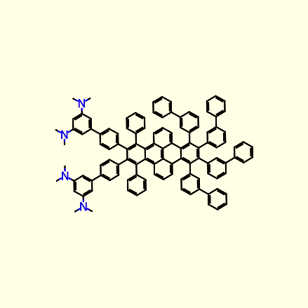 CN(C)c1cc(-c2ccc(-c3c(-c4ccc(-c5cc(N(C)C)cc(N(C)C)c5)cc4)c(-c4ccccc4)c4c5cccc6c7c(-c8cccc(-c9ccccc9)c8)c(-c8cccc(-c9ccccc9)c8)c(-c8cccc(-c9ccccc9)c8)c(-c8cccc(-c9ccccc9)c8)c7c7cccc(c4c3-c3ccccc3)c7c56)cc2)cc(N(C)C)c1